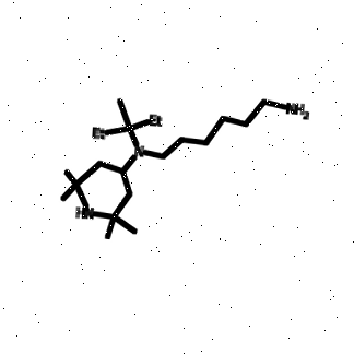 CCC(C)(CC)N(CCCCCCN)C1CC(C)(C)NC(C)(C)C1